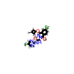 C[C@H]1C[C@@H](Oc2nn(CC(=O)Nc3ncc(F)cn3)c(=O)c3ccc(Br)cc23)C1